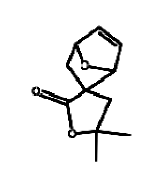 CC1(C)CC2(CC3C=CC2O3)C(=O)O1